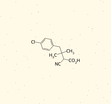 CC(C)(Cc1ccc(Cl)cc1)C(C#N)C(=O)O